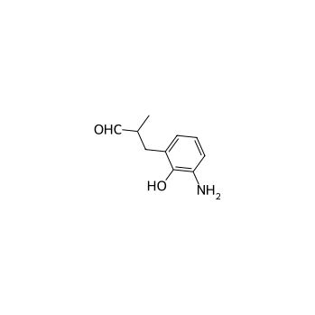 CC(C=O)Cc1cccc(N)c1O